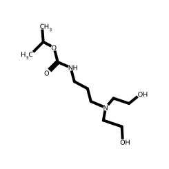 CC(C)OC(=O)NCCCN(CCO)CCO